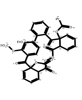 CCOC(=O)Oc1ccccc1C(=O)C1(OC(=O)C(C)C)C=CC=CC1C(=O)OOC(=O)C1C=CC=CC1(OC(=O)C(C)C)C(=O)c1ccccc1OC(=O)OCC